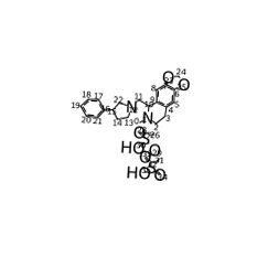 CN1CCc2cc3c(cc2C1CN1CCC(c2ccccc2)C1)OCO3.CS(=O)(=O)O.CS(=O)(=O)O